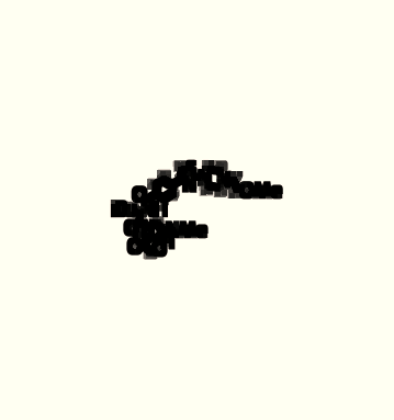 CC[C@H](C)[C@H](NC(=O)c1ccc(-c2csc(N3CCN(CCOC)CC3)n2)cc1)C(=O)N1C[C@H](NC)[C@H]2OCC(=O)[C@H]21